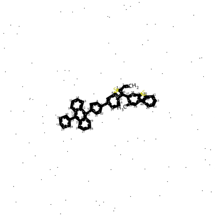 C=Cc1sc2cc(-c3ccc(-c4c5ccccc5c(-c5ccccc5)c5ccccc45)cc3)ccc2c1-c1cc2sc3ccccc3c2cc1C